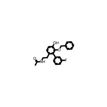 CC(=O)NCCc1ccc(O)c(OCc2ccccc2)c1-c1cccc(F)c1